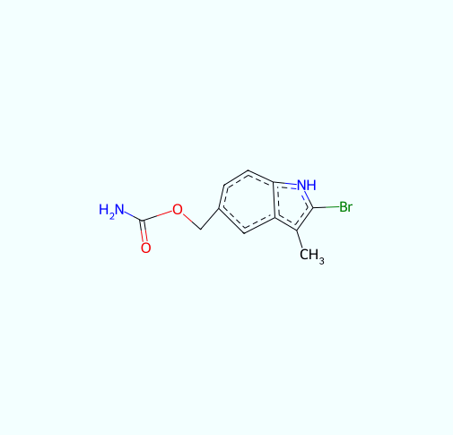 Cc1c(Br)[nH]c2ccc(COC(N)=O)cc12